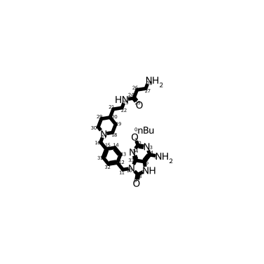 CCCCOc1nc(N)c2[nH]c(=O)n(Cc3ccc(CN4CCC(CCNC(=O)CCN)CC4)cc3)c2n1